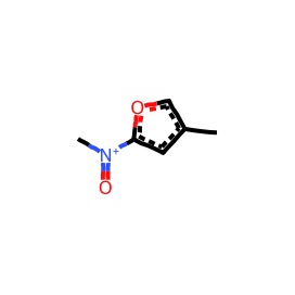 Cc1coc([N+](C)=O)c1